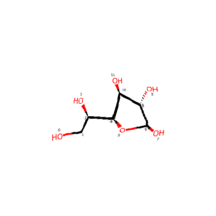 OC[C@@H](O)[C@@H]1OC(O)[C@@H](O)[C@@H]1O